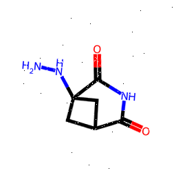 NNC12CC(C1)C(=O)NC2=O